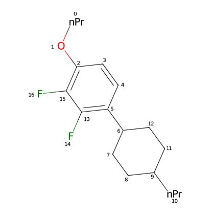 CCCOc1ccc(C2CCC(CCC)CC2)c(F)c1F